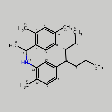 CCCC(CCC)c1ccc(C)c(NC(C)c2ccc(C)cc2C)c1